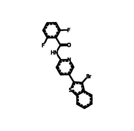 O=C(Nc1ccc(-c2sc3ccccc3c2Br)cn1)c1c(F)cccc1F